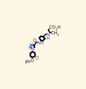 CC(CC(=O)O)NCc1ccc(NC(=O)c2cn(-c3ccc(OC(C)C)c(Cl)c3)nn2)cc1